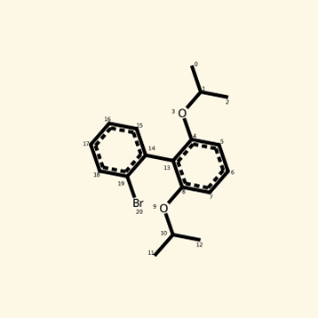 CC(C)Oc1cccc(OC(C)C)c1-c1ccccc1Br